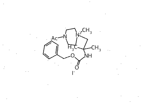 CC(=O)N1CC[N+](C)(CC(C)(C)NC(=O)OCc2ccccc2)CC1.[I-]